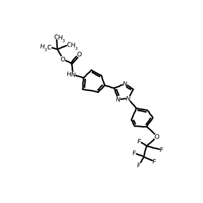 CC(C)(C)OC(=O)Nc1ccc(-c2ncn(-c3ccc(OC(F)(F)C(F)(F)F)cc3)n2)cc1